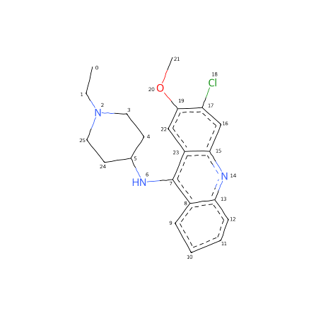 CCN1CCC(Nc2c3ccccc3nc3cc(Cl)c(OC)cc23)CC1